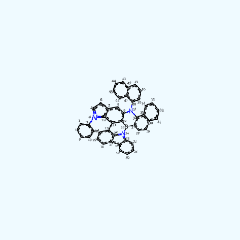 c1ccc(-n2ccc3cc4c5c(c32)-c2cccc3c6ccccc6n(c23)B5c2ccc3ccccc3c2N4c2cccc3ccccc23)cc1